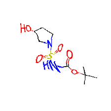 CC(C)(C)OC(=O)NS(=O)(=O)N1CC[C@@H](O)C1